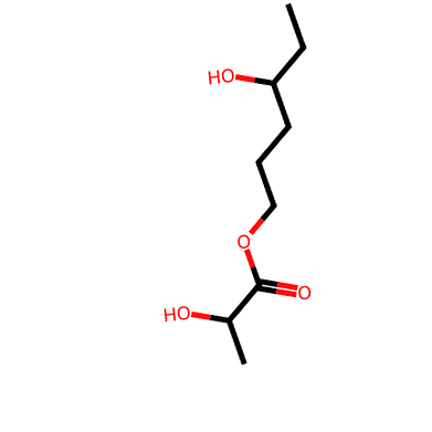 CCC(O)CCCOC(=O)C(C)O